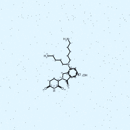 Cl.Cl.NCCCCCN(CCCCN)c1cccc2c1CN(C1CCC(=O)NC1=O)C2=O